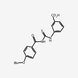 CCC(C)Oc1ccc(C(=O)NC(=S)Nc2cccc(C(=O)O)c2)cc1